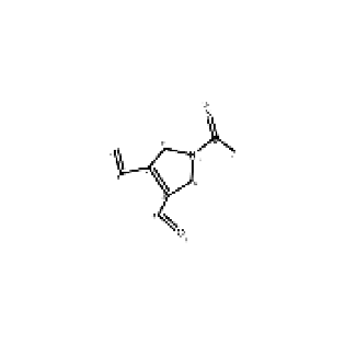 C=CC1=C(C=O)CN(C(C)=S)C1